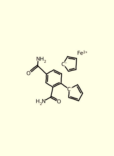 NC(=O)c1ccc(-[c-]2cccc2)c(C(N)=O)c1.[Fe+2].c1cc[cH-]c1